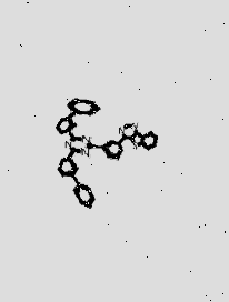 c1ccc(-c2cccc(-c3nc(-c4cccc(-c5ccccc5)c4)nc(-c4cccc(-c5ncnc6c5sc5ccccc56)c4)n3)c2)cc1